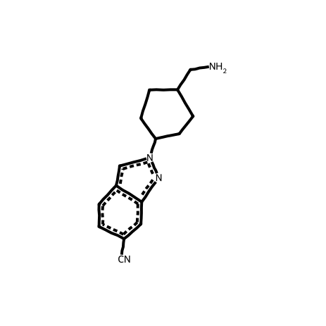 N#Cc1ccc2cn(C3CCC(CN)CC3)nc2c1